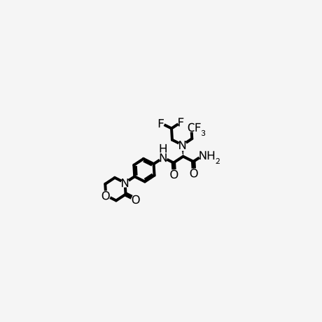 NC(=O)[C@H](C(=O)Nc1ccc(N2CCOCC2=O)cc1)N(CC(F)F)CC(F)(F)F